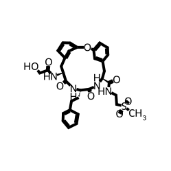 CS(=O)(=O)CCNC(=O)[C@@H]1Cc2cccc(c2)Oc2cccc(c2)C[C@H](NC(=O)CO)C(=O)N[C@@H](CCc2ccccc2)C(=O)N1